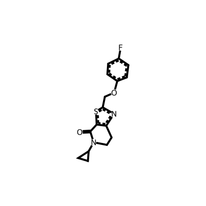 O=C1c2sc(COc3ccc(F)cc3)nc2CCN1C1CC1